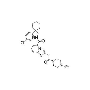 CC(C)N1CCN(C(=O)Cc2cn3c(C(=O)NCC4(c5ccc(Cl)cc5)CCCCC4)cccc3n2)CC1